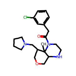 CC12C(CN3CCCC3)COCC1NCCN2C(=O)Cc1cccc(Cl)c1